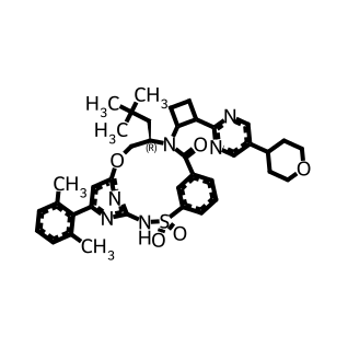 Cc1cccc(C)c1-c1cc2nc(n1)NS(=O)(=O)c1cccc(c1)C(=O)N(C1CCC1c1ncc(C3CCOCC3)cn1)[C@H](CC(C)(C)C)CO2